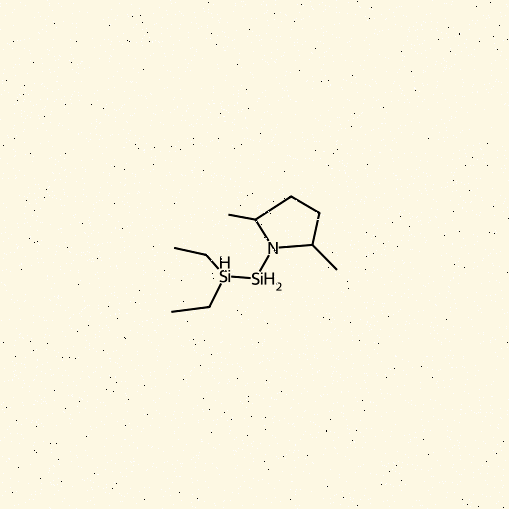 CC[SiH](CC)[SiH2]N1C(C)CCC1C